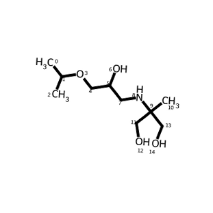 CC(C)OCC(O)CNC(C)(CO)CO